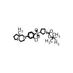 CC(C)(C)OC(=O)N1CC[C@H](S(=O)(=O)c2ccc(N3CCN4CCC[C@@]4(C)C3)cc2Cl)C1